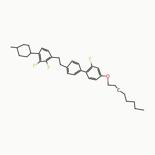 CCCCCCCCOc1ccc(-c2ccc(CCc3ccc(C4CCC(C)CC4)c(F)c3F)cc2)c(F)c1